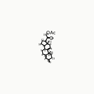 C=C1C=C2CCC3C(=CCC4(C)C(C(=O)COC(C)=O)CCC34)C2(C)CC1